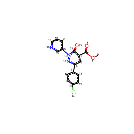 COC(=O)c1cc(-c2ccc(Cl)cc2)nn(-c2cccnc2)c1=O